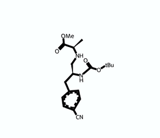 COC(=O)[C@@H](C)NC[C@H](Cc1ccc(C#N)cc1)NC(=O)OC(C)(C)C